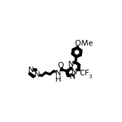 COc1ccc(-c2cc(C(F)(F)F)n3ncc(C(=O)NCCCCn4ccnc4)c3n2)cc1